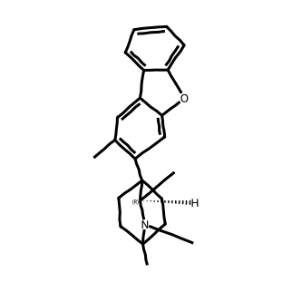 Cc1cc2c(cc1C13CCC(C)(CC1)N(C)[C@@H]3C)oc1ccccc12